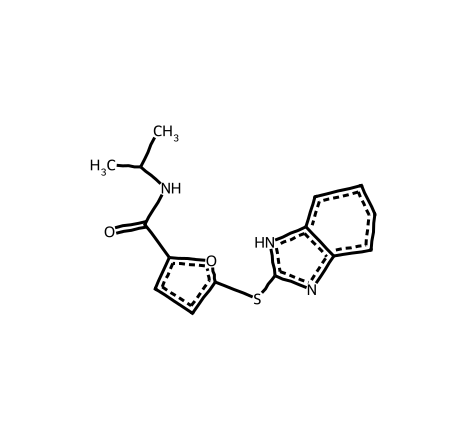 CC(C)NC(=O)c1ccc(Sc2nc3ccccc3[nH]2)o1